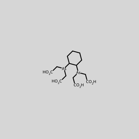 O=C(O)C[As](CC(=O)O)C1CCCCC1[As](CC(=O)O)CC(=O)O